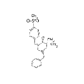 CC1(C)CN(Cc2ccccc2)CC(=Cc2ccc(S(C)(=O)=O)cc2)C1=O